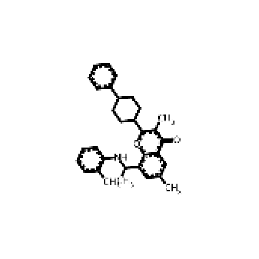 Cc1cc(C(C)Nc2ccccc2C)c2oc(C3CCC(c4ccccc4)CC3)c(C)c(=O)c2c1